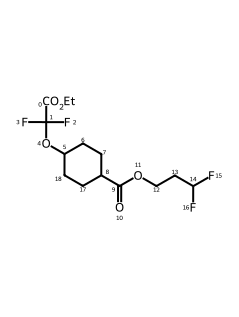 CCOC(=O)C(F)(F)OC1CCC(C(=O)OCCC(F)F)CC1